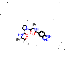 CC(C)[C@H](NC(=O)c1ccc2[nH]nnc2c1)C(=O)N1CCC[C@H]1C(=O)N[C@H](C(=O)C(F)(F)F)C(C)C